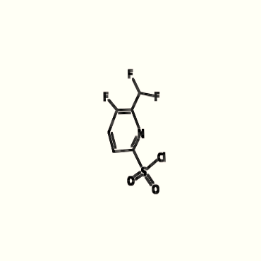 O=S(=O)(Cl)c1ccc(F)c(C(F)F)n1